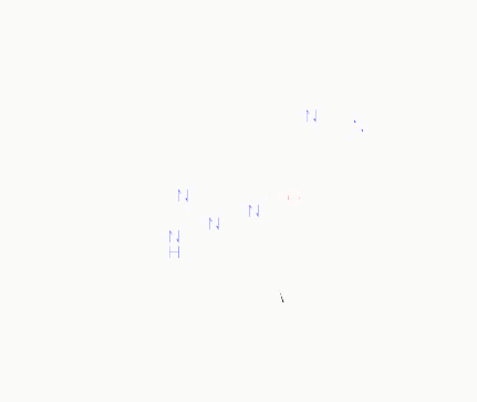 CCCCNc1ncc2c3ccc(CN4CCN(C)CC4)cc3c(=O)n([C@H]3CC[C@H](C)CC3)c2n1